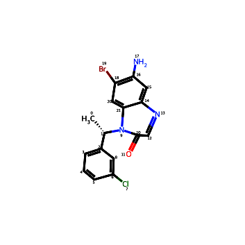 C[C@@H](c1cccc(Cl)c1)n1c(=O)cnc2cc(N)c(Br)cc21